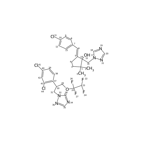 CC1(C)CC/C(=C\c2ccc(Cl)cc2)C1(O)Cn1cncn1.FC(F)C(F)(F)OCC(Cn1cncn1)c1ccc(Cl)cc1Cl